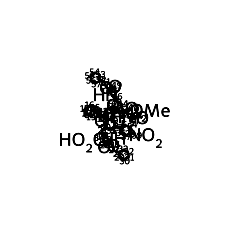 COC(=O)[C@H](Cc1cc(-c2ccc(OCc3ccccc3)c(C[C@H](NC(=O)OCc3ccccc3)C(=O)O)c2)ccc1[N+](=O)[O-])NC(=O)[C@H](CCCNC(=O)OCc1ccccc1)NC(=O)OC(C)(C)C